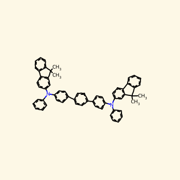 CC1(C)c2ccccc2-c2ccc(N(c3ccccc3)c3ccc(-c4ccc(-c5ccc(N(c6ccccc6)c6ccc7c(c6)C(C)(C)c6ccccc6-7)cc5)cc4)cc3)cc21